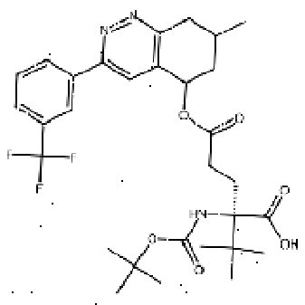 CC1Cc2nnc(-c3cccc(C(F)(F)F)c3)cc2C(OC(=O)CC[C@](NC(=O)OC(C)(C)C)(C(=O)O)C(C)(C)C)C1